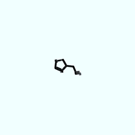 CCC1CSC=N1